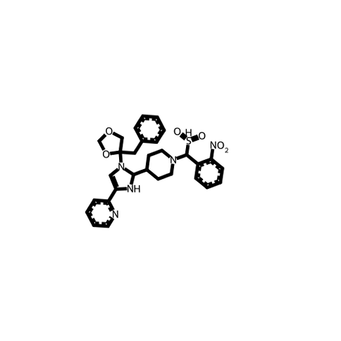 O=[N+]([O-])c1ccccc1C(N1CCC(C2NC(c3ccccn3)=CN2C2(Cc3ccccc3)COCO2)CC1)[SH](=O)=O